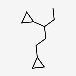 CCC(CCC1CC1)C1CC1